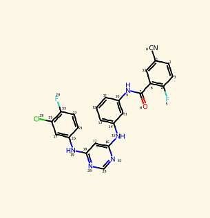 N#Cc1ccc(F)c(C(=O)Nc2cccc(Nc3cc(Nc4ccc(F)c(Cl)c4)ncn3)c2)c1